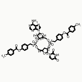 Cc1ccc(C(=O)Oc2ccc(CSP3(=O)OC[C@@H]4C[C@@H](OP(=O)(SCc5ccc(OC(=O)c6ccc(C)cc6)cc5)OC[C@H]5O[C@@H](n6cnc7c(N)ncnc76)[C@H](F)[C@@H]5O3)[C@H](n3ccc(=O)[nH]c3=O)O4)cc2)cc1